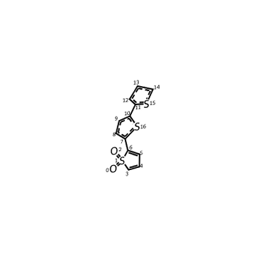 O=S1(=O)C=CC=C1c1ccc(-c2cccs2)s1